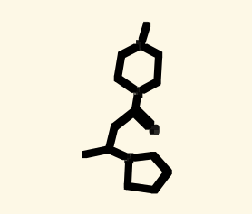 CC(CC(=O)N1CCN(C)CC1)N1CCCC1